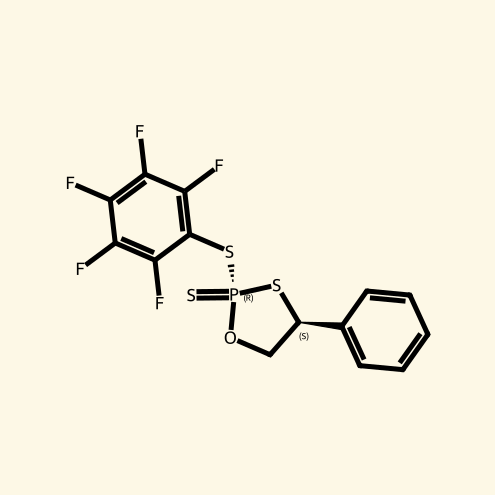 Fc1c(F)c(F)c(S[P@@]2(=S)OC[C@H](c3ccccc3)S2)c(F)c1F